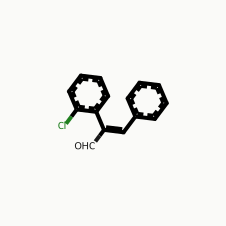 O=CC(=Cc1ccccc1)c1ccccc1Cl